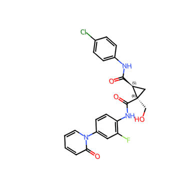 O=C(Nc1ccc(Cl)cc1)[C@H]1C[C@@]1(CO)C(=O)Nc1ccc(-n2ccccc2=O)cc1F